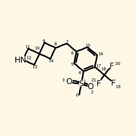 CS(=O)(=O)c1cc(CC2CC3(CNC3)C2)ccc1C(F)(F)F